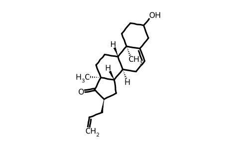 C=CC[C@@H]1C[C@H]2[C@@H]3CC=C4CC(O)CC[C@]4(C)[C@H]3CC[C@]2(C)C1=O